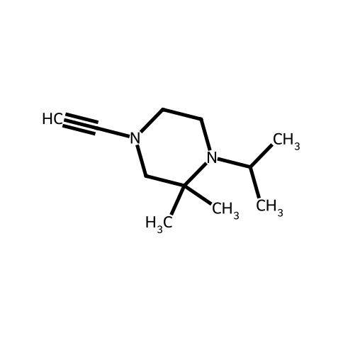 C#CN1CCN(C(C)C)C(C)(C)C1